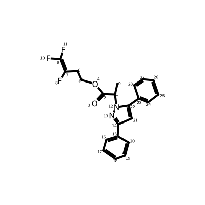 CC(C(=O)OCCC(F)=C(F)F)n1nc(-c2ccccc2)cc1-c1ccccc1